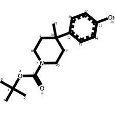 CC(C)(C)OC(=O)N1CCC(C)(c2ccc(O)cc2)CC1